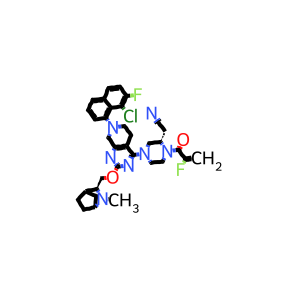 C=C(F)C(=O)N1CCN(c2nc(OC[C@@H]3C4CCC(C4)N3C)nc3c2CCN(c2cccc4ccc(F)c(Cl)c24)C3)C[C@@H]1CC#N